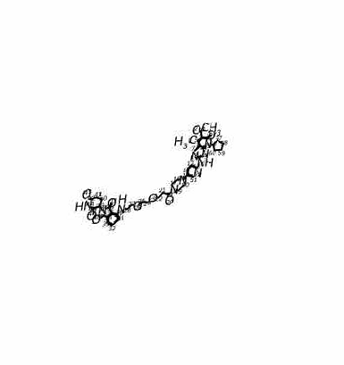 CC(=O)c1c(C)c2cnc(Nc3ccc(N4CCN(C(=O)CCOCCOCCNc5cccc6c5C(=O)N(C5CCC(=O)NC5=O)C6=O)CC4)cn3)nc2n(C2CCCC2)c1=O